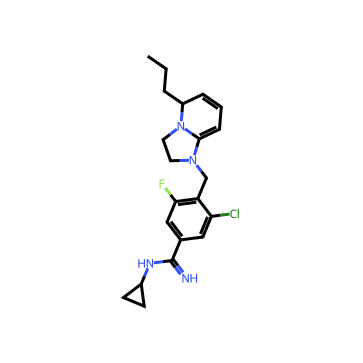 CCCC1C=CC=C2N(Cc3c(F)cc(C(=N)NC4CC4)cc3Cl)CCN21